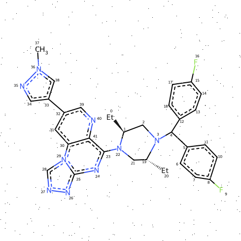 CC[C@H]1CN(C(c2ccc(F)cc2)c2ccc(F)cc2)[C@H](CC)CN1c1nc2nncn2c2cc(-c3cnn(C)c3)cnc12